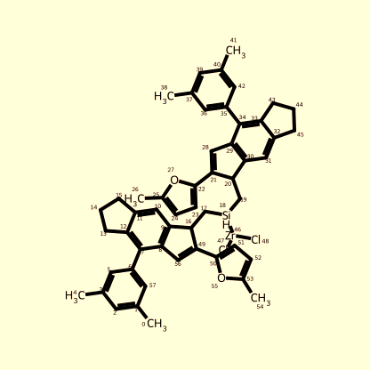 Cc1cc(C)cc(-c2c3c(cc4c2CCC4)C(C[SiH](CC2C(c4ccc(C)o4)=Cc4c2cc2c(c4-c4cc(C)cc(C)c4)CCC2)[Zr]([Cl])[Cl])C(c2ccc(C)o2)=C3)c1